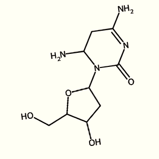 NC1=NC(=O)N(C2CC(O)C(CO)O2)C(N)C1